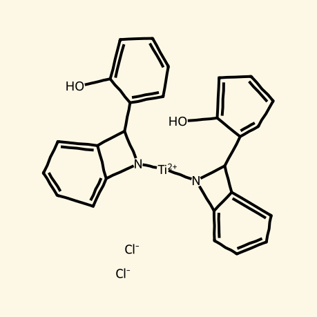 Oc1ccccc1C1c2ccccc2[N]1[Ti+2][N]1c2ccccc2C1c1ccccc1O.[Cl-].[Cl-]